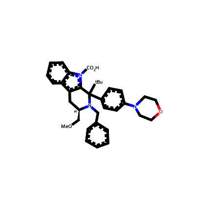 COC[C@H]1Cc2c(n(C(=O)O)c3ccccc23)C(c2ccc(N3CCOCC3)cc2)(C(C)(C)C)N1Cc1ccccc1